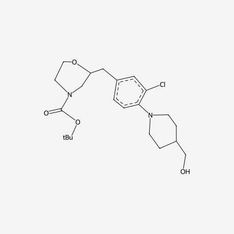 CC(C)(C)OC(=O)N1CCOC(Cc2ccc(N3CCC(CO)CC3)c(Cl)c2)C1